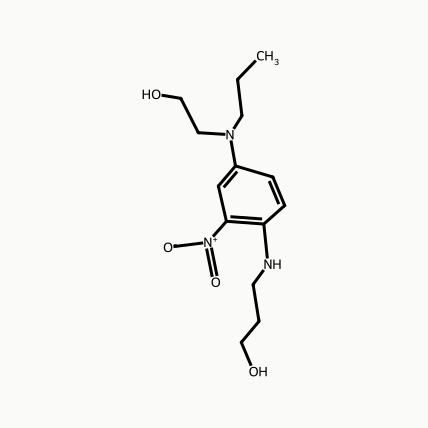 CCCN(CCO)c1ccc(NCCCO)c([N+](=O)[O-])c1